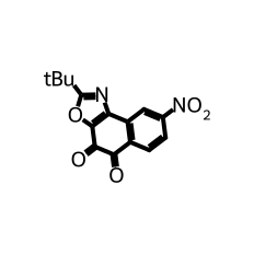 CC(C)(C)c1nc2c(o1)C(=O)C(=O)c1ccc([N+](=O)[O-])cc1-2